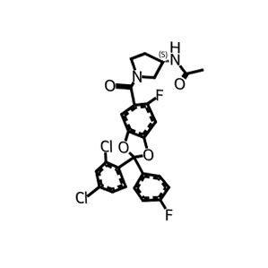 CC(=O)N[C@H]1CCN(C(=O)c2cc3c(cc2F)OC(c2ccc(F)cc2)(c2ccc(Cl)cc2Cl)O3)C1